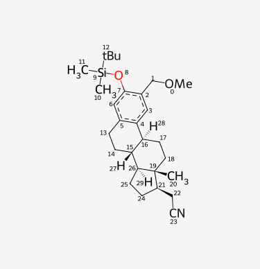 COCc1cc2c(cc1O[Si](C)(C)C(C)(C)C)CC[C@@H]1[C@@H]2CC[C@]2(C)[C@@H](CC#N)CC[C@@H]12